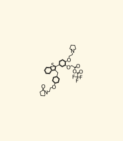 O=C(COc1cc(-c2sc3ccccc3c2Cc2ccc(OCCN3CCCC3=O)cc2)ccc1OCCN1CCCC1)OC(=O)C(F)(F)F